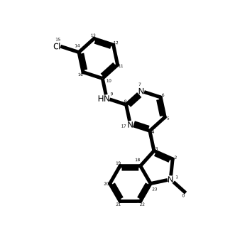 Cn1cc(-c2ccnc(Nc3cccc(Cl)c3)n2)c2ccccc21